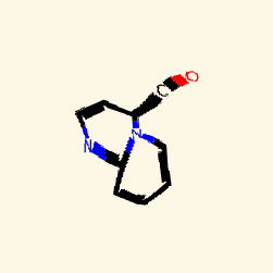 O=C=C1C=CN=C2C=CC=CN12